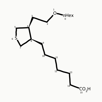 CCCCCCOCC[C@@H]1CSC[C@@H]1CCCCCCC(=O)O